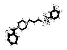 O=S(=O)(NCCCN1CCN(c2noc3ccccc23)CC1)c1cccc(C(F)(F)F)c1